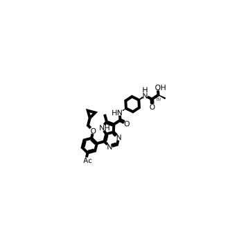 CC(=O)c1ccc(OCC2CC2)c(-c2ncnc3c(C(=O)N[C@H]4CC[C@H](NC(=O)[C@H](C)O)CC4)c(C)[nH]c23)c1